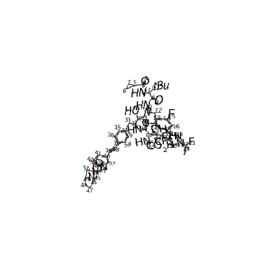 CC(C)(C)C(NC(=O)C1CC1)C(=O)NN(Cc1c(F)cc(-c2ccn(C(F)F)n2)cc1F)C[C@H](O)[C@H](Cc1ccc(C#Cc2ccc(N3CC4CCC(C3)N4C3COC3)nc2)cc1)NC(=O)[C@@H](NC(=O)O)C(C)(C)C(F)(F)F